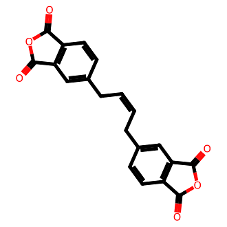 O=C1OC(=O)c2cc(C/C=C\Cc3ccc4c(c3)C(=O)OC4=O)ccc21